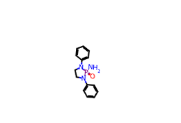 NP1(=O)N(c2ccccc2)CCN1c1ccccc1